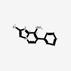 CCc1cn2ccc(-c3ccccc3)c([N+](=O)[O-])c2n1